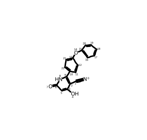 N#Cc1c(O)cc(=O)[nH]c1-c1ccc(Oc2ccccc2)cc1